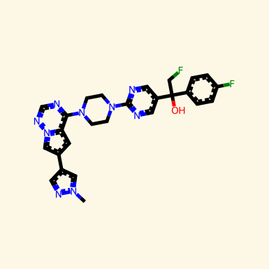 Cn1cc(-c2cc3c(N4CCN(c5ncc(C(O)(CF)c6ccc(F)cc6)cn5)CC4)ncnn3c2)cn1